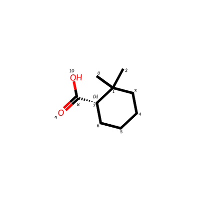 CC1(C)CCCC[C@@H]1C(=O)O